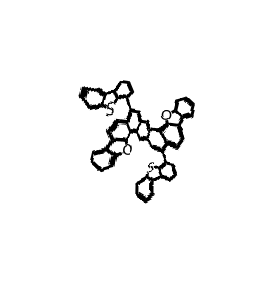 c1ccc2c(c1)oc1c2ccc2c(-c3cccc4c3sc3ccccc34)cc3cc4c(cc(-c5cccc6c5sc5ccccc56)c5ccc6c7ccccc7oc6c54)cc3c21